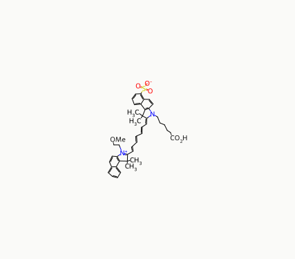 COCC[N+]1=C(/C=C/C=C/C=C/C=C2/N(CCCCCC(=O)O)c3ccc4c(S(=O)(=O)[O-])cccc4c3C2(C)C)C(C)(C)c2c1ccc1ccccc21